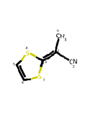 CC(C#N)=C1SC=CS1